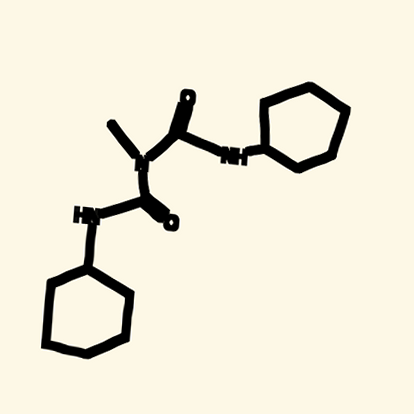 CN(C(=O)NC1CCCCC1)C(=O)NC1CCCCC1